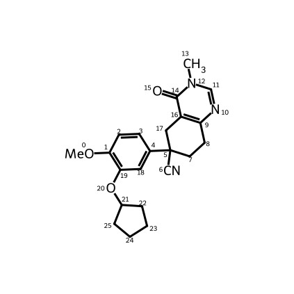 COc1ccc(C2(C#N)CCc3ncn(C)c(=O)c3C2)cc1OC1CCCC1